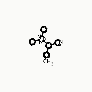 Cc1ccc(-c2cc(-c3ccncc3)cc(-c3nc(-c4ccccc4)nc(-c4ccccc4)n3)c2)cc1